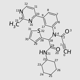 C#CC(=O)N(c1cccc(-c2ccnc(C)n2)c1)C(C(=O)NC1CCCCC1)c1cccs1